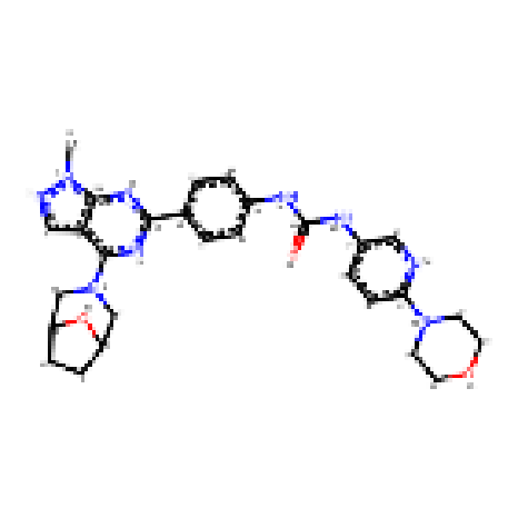 CCn1ncc2c(N3CC4CCC(C3)O4)nc(-c3ccc(NC(=O)Nc4ccc(N5CCOCC5)nc4)cc3)nc21